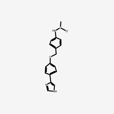 C[S+]([O-])Nc1ccc(COc2ccc(-c3c[nH]cn3)cc2)cc1